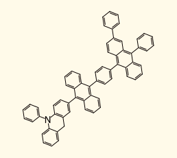 c1ccc(-c2ccc3c(-c4ccc(-c5c6ccccc6c(-c6ccc7c(c6)Cc6ccccc6N7c6ccccc6)c6ccccc56)cc4)c4ccccc4c(-c4ccccc4)c3c2)cc1